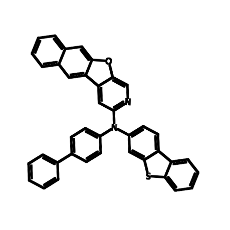 c1ccc(-c2ccc(N(c3ccc4c(c3)sc3ccccc34)c3cc4c(cn3)oc3cc5ccccc5cc34)cc2)cc1